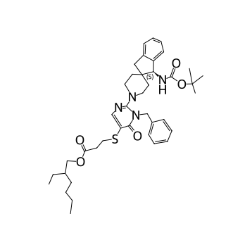 CCCCC(CC)COC(=O)CCSc1cnc(N2CCC3(CC2)Cc2ccccc2[C@H]3NC(=O)OC(C)(C)C)n(Cc2ccccc2)c1=O